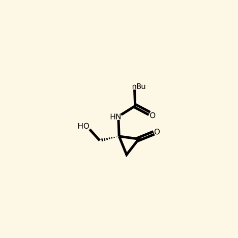 CCCCC(=O)N[C@]1(CO)CC1=O